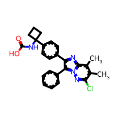 Cc1c(Cl)nn2c(-c3ccccc3)c(-c3ccc(C4(NC(=O)O)CCC4)cc3)nc2c1C